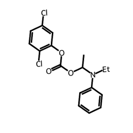 CCN(c1ccccc1)C(C)OC(=O)Oc1cc(Cl)ccc1Cl